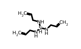 C=CCN[SiH](NCC=C)NCC=C